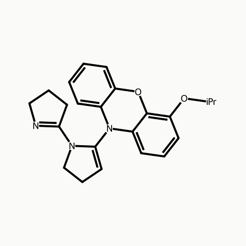 CC(C)Oc1cccc2c1Oc1ccccc1N2C1=CCCN1C1=NCCC1